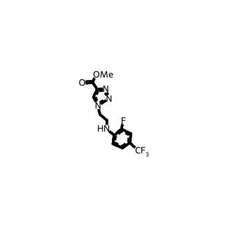 COC(=O)c1cn(CCNc2ccc(C(F)(F)F)cc2F)nn1